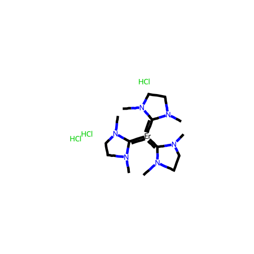 CN1CCN(C)[C]1=[Er](=[C]1N(C)CCN1C)=[C]1N(C)CCN1C.Cl.Cl.Cl